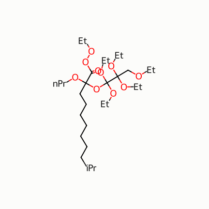 CCCOC(CCCCCCCC(C)C)(OC(OCC)(OCC)C(COCC)(OCC)OCC)C(=O)OOCC